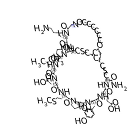 CSCC[C@@H]1NC(=O)[C@H](CC(=O)O)NC(=O)[C@H](CC(C)C)NC(=O)[C@@H]2CCCN2C(=O)[C@@H]2CSCc3cc(cc(c3)OCCCCCCO/N=C/C(=O)N[C@@H](CCCCN)C(=O)N2)CSC[C@@H](C(N)=O)NC(=O)[C@H](CCC(=O)O)NC(=O)[C@H](Cc2ccc(O)cc2)NC(=O)[C@@H]2CCCN2C1=O